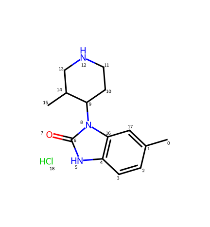 Cc1ccc2[nH]c(=O)n(C3CCNCC3C)c2c1.Cl